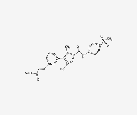 COC(=O)C=Cc1cccc(-c2c(C)c(C(=O)Nc3ccc(S(C)(=O)=O)cc3)cn2C)c1